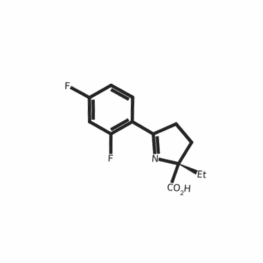 CC[C@]1(C(=O)O)CCC(c2ccc(F)cc2F)=N1